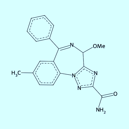 COC1N=C(c2ccccc2)c2cc(C)ccc2-n2nc(C(N)=O)nc21